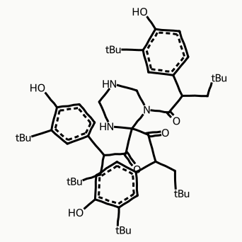 CC(C)(C)CC(C(=O)N1CNCNC1(C(=O)C(CC(C)(C)C)c1ccc(O)c(C(C)(C)C)c1)C(=O)C(CC(C)(C)C)c1ccc(O)c(C(C)(C)C)c1)c1ccc(O)c(C(C)(C)C)c1